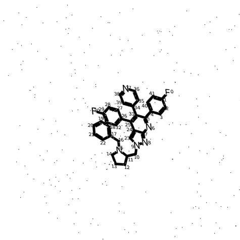 Fc1ccc(-c2nc3nn(CC4CCCN4Cc4ccccc4)cc3c(-c3ccc(F)cc3)c2-c2ccncc2)cc1